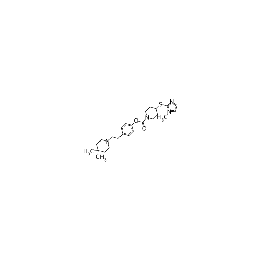 Cn1ccnc1SC1CCN(C(=O)Oc2ccc(CCN3CCC(C)(C)CC3)cc2)CC1